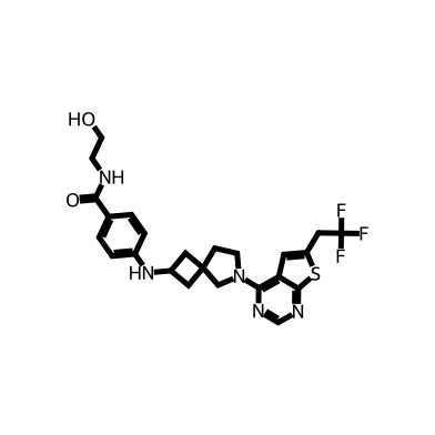 O=C(NCCO)c1ccc(NC2CC3(CCN(c4ncnc5sc(CC(F)(F)F)cc45)C3)C2)cc1